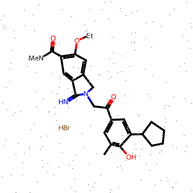 Br.CCOc1cc2c(cc1C(=O)NC)C(=N)N(CC(=O)c1cc(C)c(O)c(C3CCCC3)c1)C2